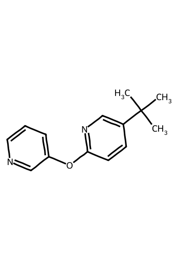 CC(C)(C)c1ccc(Oc2cccnc2)nc1